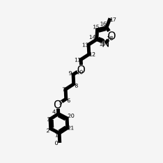 Cc1ccc(OCCCCOCCCc2cc(C)on2)cc1